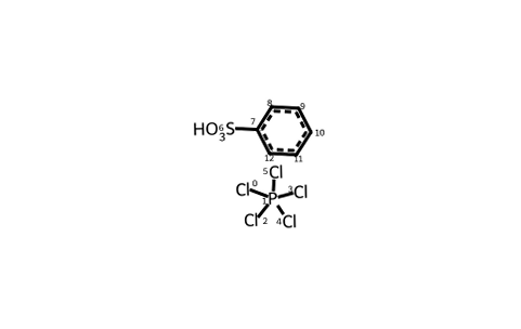 ClP(Cl)(Cl)(Cl)Cl.O=S(=O)(O)c1ccccc1